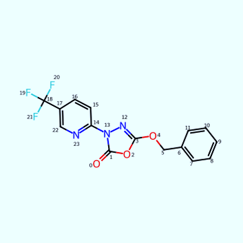 O=c1oc(OCc2ccccc2)nn1-c1ccc(C(F)(F)F)cn1